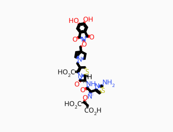 Nc1nc(/C(=N/O[C@@H](CC(=O)O)C(=O)O)C(=O)N[C@@H]2C(=O)N3C(C(=O)O)=C(C[N+]45CCC(CON6C(=O)c7cc(O)c(O)cc7C6=O)(CC4)C5)CS[C@H]23)cs1